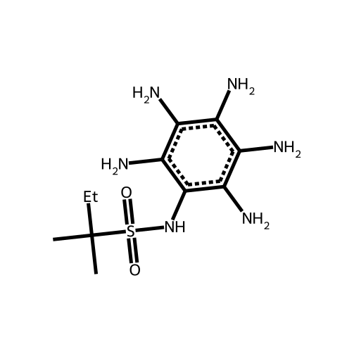 CCC(C)(C)S(=O)(=O)Nc1c(N)c(N)c(N)c(N)c1N